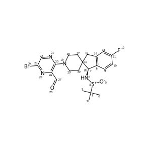 CC(C)(C)[S+]([O-])N[C@@H]1c2ccc(F)cc2CC12CCN(c1ncc(Br)nc1C=O)CC2